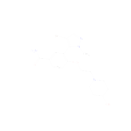 Cn1ncc(Br)c1-c1cc(C(N)=O)ccc1OCCN1CCC(O)CC1